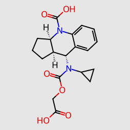 O=C(O)COC(=O)N(C1CC1)[C@H]1c2ccccc2N(C(=O)O)[C@@H]2CCC[C@@H]21